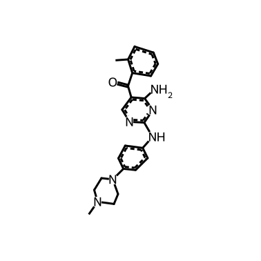 Cc1ccccc1C(=O)c1cnc(Nc2ccc(N3CCN(C)CC3)cc2)nc1N